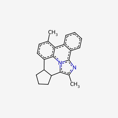 Cc1nc2c3ccccc3c3c(C)ccc4c3n2c1C1CCCC41